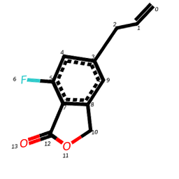 C=CCc1cc(F)c2c(c1)COC2=O